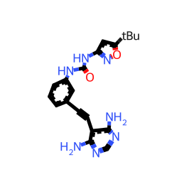 CC(C)(C)c1cc(NC(=O)Nc2cccc(C#Cc3c(N)ncnc3N)c2)no1